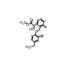 CCc1ccc(OCc2c(F)cccc2N(O)C(=O)OC)c(Br)c1